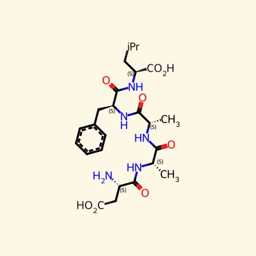 CC(C)C[C@H](NC(=O)[C@H](Cc1ccccc1)NC(=O)[C@H](C)NC(=O)[C@H](C)NC(=O)[C@@H](N)CC(=O)O)C(=O)O